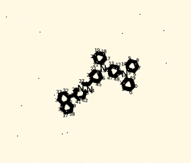 c1ccc(N(c2ccccc2)c2ccc(N(c3ccccc3)c3ccc(-c4cn5cc(-c6cccc7ccccc67)ccc5n4)cc3)cc2)cc1